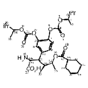 CC(C)C(C)OC(=O)Oc1ccc(C(C(C)C(C)OC(=O)C2CCCCC2)[C@H](N)C(=O)O)cc1OC(=O)OC(C)C(C)C